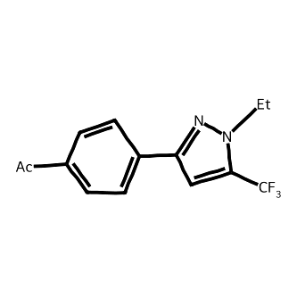 CCn1nc(-c2ccc(C(C)=O)cc2)cc1C(F)(F)F